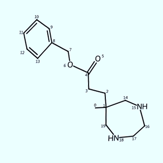 CC1(CCC(=O)OCc2ccccc2)CNCCNC1